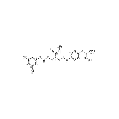 CCOC(Cc1ccc(OCCN(CCOCc2cc(Cl)cc(Cl)c2)C(=O)OC(C)C)cc1)C(=O)O